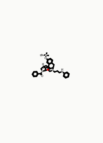 CC(C)(C)[Si](C)(C)Oc1ccc2c(c1)C13CCN(CCCNc4ccccc4)C(C2)C12CCC1C3[C@@H](CN1C(=O)c1ccccc1)C2